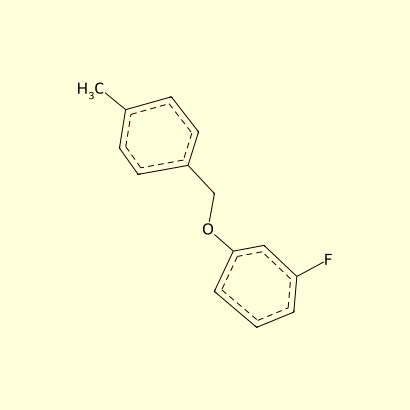 Cc1ccc(COc2cccc(F)c2)cc1